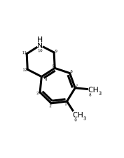 CC1=C=CC2=C(C=C1C)CNCC2